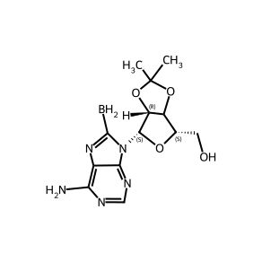 Bc1nc2c(N)ncnc2n1[C@H]1O[C@@H](CO)C2OC(C)(C)O[C@H]21